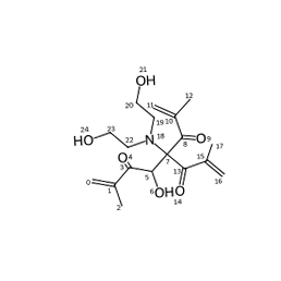 C=C(C)C(=O)C(O)C(C(=O)C(=C)C)(C(=O)C(=C)C)N(CCO)CCO